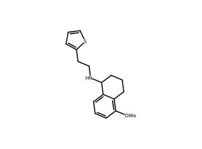 COc1cccc2c1CCCC2NCCc1cccs1